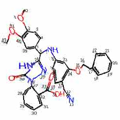 COc1ccc(C(Nc2ccc(C#N)c(OCc3ccccc3)c2)c2nn(-c3ccccc3C(=O)O)c(=O)[nH]2)cc1OC